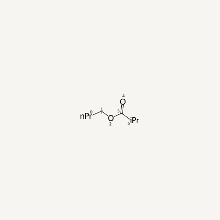 CCC[CH]OC(=O)C(C)C